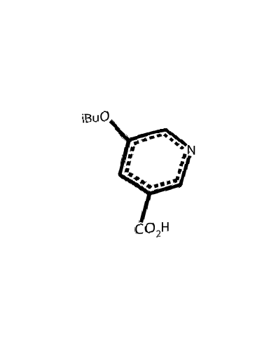 CC(C)COc1cncc(C(=O)O)c1